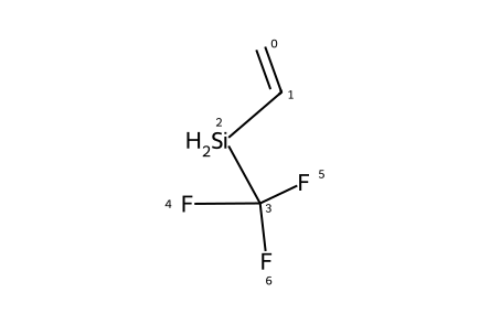 C=C[SiH2]C(F)(F)F